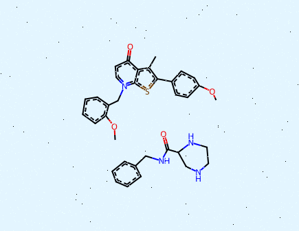 COc1ccc(-c2sc3c(c2C)c(=O)ccn3Cc2ccccc2OC)cc1.O=C(NCc1ccccc1)C1CNCCN1